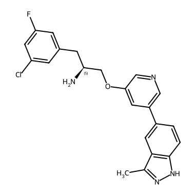 Cc1n[nH]c2ccc(-c3cncc(OC[C@@H](N)Cc4cc(F)cc(Cl)c4)c3)cc12